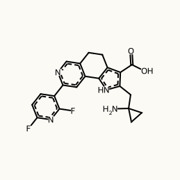 NC1(Cc2[nH]c3c(c2C(=O)O)CCc2cnc(-c4ccc(F)nc4F)cc2-3)CC1